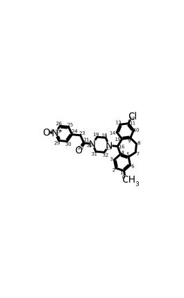 Cc1ccc2c(c1)CCc1cc(Cl)ccc1C2N1CCN(C(=O)Cc2cc[n+]([O-])cc2)CC1